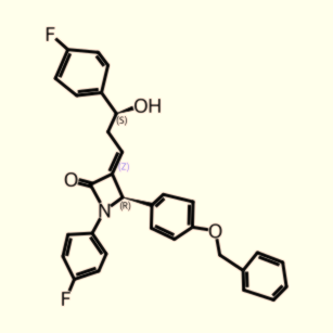 O=C1/C(=C\C[C@H](O)c2ccc(F)cc2)[C@@H](c2ccc(OCc3ccccc3)cc2)N1c1ccc(F)cc1